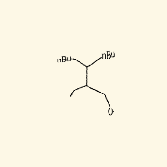 CCCCC(CCCC)C(C)C[O]